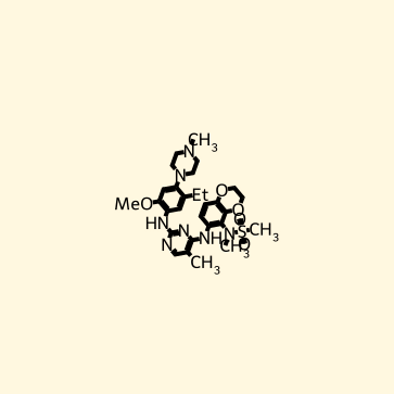 CCc1cc(Nc2ncc(C)c(Nc3ccc4c(c3N(C)S(C)(=O)=O)OCCO4)n2)c(OC)cc1N1CCN(C)CC1